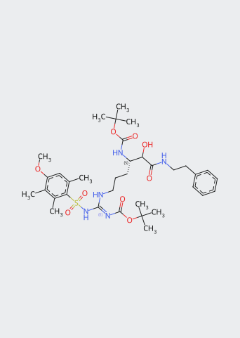 COc1cc(C)c(S(=O)(=O)N/C(=N/C(=O)OC(C)(C)C)NCCC[C@H](NC(=O)OC(C)(C)C)C(O)C(=O)NCCc2ccccc2)c(C)c1C